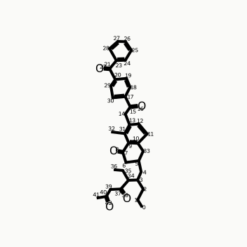 CCCC(CC1CC(=O)c2c(ccc(CC(=O)c3ccc(C(=O)c4ccccc4)cc3)c2C)C1)C(CC)C(=O)CC(C)=O